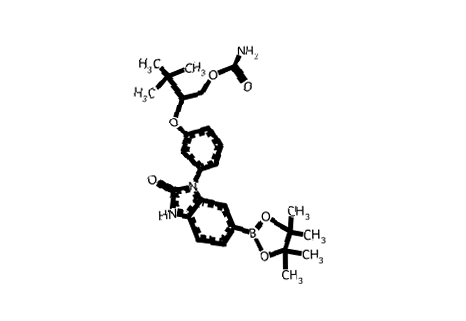 CC(C)(C)C(COC(N)=O)Oc1cccc(-n2c(=O)[nH]c3ccc(B4OC(C)(C)C(C)(C)O4)cc32)c1